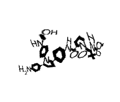 COC(=O)N[C@H](C(=O)N1CCC[C@H]1C(=O)Nc1ccc([C@@H]2CC[C@@H](c3ccc(N)cc3)N2c2ccc(NCCO)cc2)cc1)C(C)(C)C